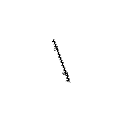 CC(C)CCCCOC(=O)CCCCCCCCCCCCCCCCCC(=O)OCCCCC(C)C